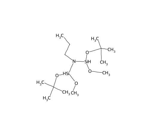 CCCN([SiH](OC)OC(C)(C)C)[SiH](OC)OC(C)(C)C